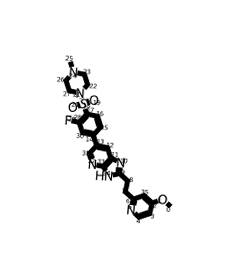 COc1ccnc(CCc2nc3cc(-c4ccc(S(=O)(=O)N5CCN(C)CC5)c(F)c4)cnc3[nH]2)c1